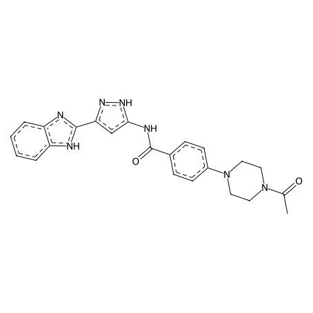 CC(=O)N1CCN(c2ccc(C(=O)Nc3cc(-c4nc5ccccc5[nH]4)n[nH]3)cc2)CC1